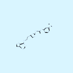 CS(=O)(=O)c1cccc(NC(=O)Nc2ncc(CCNc3ncnc4ccsc34)s2)c1